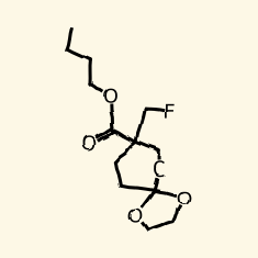 CCCCOC(=O)C1(CF)CCC2(CC1)OCCO2